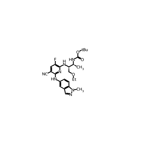 CCOC[C@@H](Nc1nc(Nc2ccc3c(cnn3C)c2)c(C#N)cc1F)[C@H](C)NC(=O)OC(C)(C)C